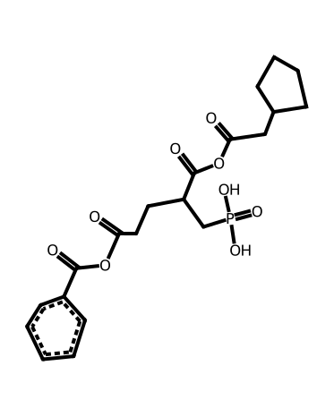 O=C(CCC(CP(=O)(O)O)C(=O)OC(=O)CC1CCCC1)OC(=O)c1ccccc1